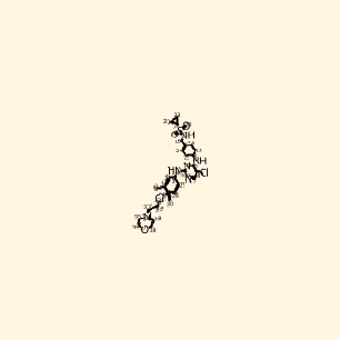 CC1=CC(Nc2ncc(Cl)c(Nc3ccc(CNS(=O)(=O)C4CC4)cc3)n2)C=CC1(C)OCCN1CCOCC1